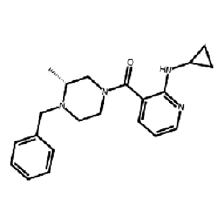 C[C@@H]1CN(C(=O)c2cccnc2NC2CC2)CCN1Cc1ccccc1